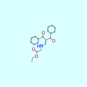 CCOC(=O)CNC=C(C(=O)c1ccccc1)C(=O)c1ccccc1